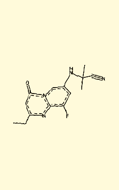 CCc1cc(=O)n2cc(NC(C)(C)C#N)cc(F)c2n1